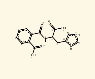 O=C(O)c1ccccc1C(=O)NC(Cc1c[nH]cn1)C(=O)O